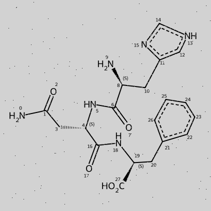 NC(=O)C[C@H](NC(=O)[C@@H](N)Cc1c[nH]cn1)C(=O)N[C@@H](Cc1ccccc1)C(=O)O